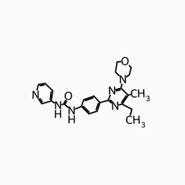 CCc1nc(-c2ccc(NC(=O)Nc3cccnc3)cc2)nc(N2CCOCC2)c1C